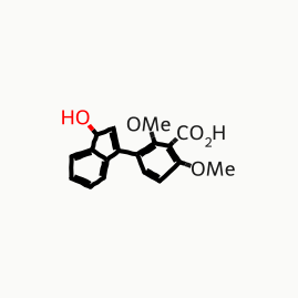 COc1ccc(C2=CC(O)c3ccccc32)c(OC)c1C(=O)O